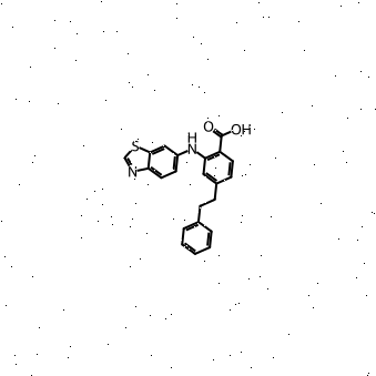 O=C(O)c1ccc(CCc2ccccc2)cc1Nc1ccc2ncsc2c1